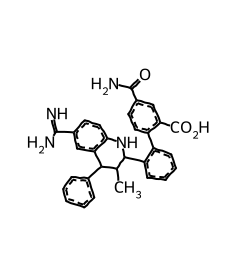 CC1C(c2ccccc2-c2ccc(C(N)=O)cc2C(=O)O)Nc2ccc(C(=N)N)cc2C1c1ccccc1